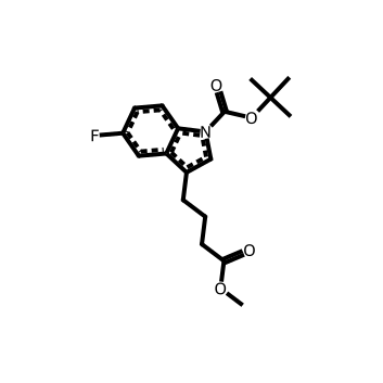 COC(=O)CCCc1cn(C(=O)OC(C)(C)C)c2ccc(F)cc12